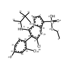 CCOP(=O)(O)c1cnn2c(NC(C)C(C)(C)C)c(-c3ccc(F)cc3Cl)c(Cl)nc12